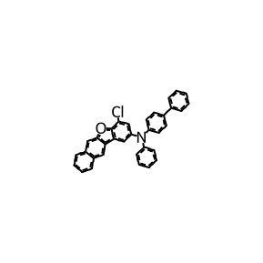 Clc1cc(N(c2ccccc2)c2ccc(-c3ccccc3)cc2)cc2c1oc1cc3ccccc3cc12